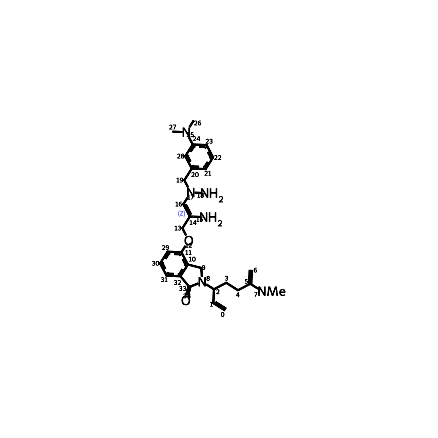 C=CC(CCC(=C)NC)N1Cc2c(OC/C(N)=C/N(N)Cc3cccc(N(C)C)c3)cccc2C1=O